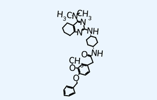 COc1cc(CC(=O)N[C@H]2CC[C@@H](Nc3nc4c(c(N(C)C)n3)CCCC4)CC2)ccc1OCc1ccccc1